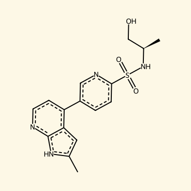 Cc1cc2c(-c3ccc(S(=O)(=O)N[C@H](C)CO)nc3)ccnc2[nH]1